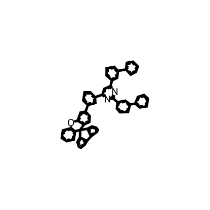 c1ccc(-c2cccc(-c3cc(-c4cccc(-c5ccc6c(c5)Oc5ccccc5C65c6ccccc6-c6ccccc65)c4)nc(-c4cccc(-c5ccccc5)c4)n3)c2)cc1